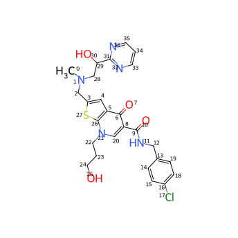 CN(Cc1cc2c(=O)c(C(=O)NCc3ccc(Cl)cc3)cn(CCCO)c2s1)CC(O)c1ncccn1